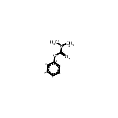 CN(C)C(=O)Oc1c[c]ccc1